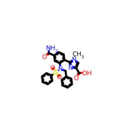 Cn1cc(C(=O)O)nc1-c1ccc(C(N)=O)cc1N(Cc1ccccc1)S(=O)(=O)c1ccccc1